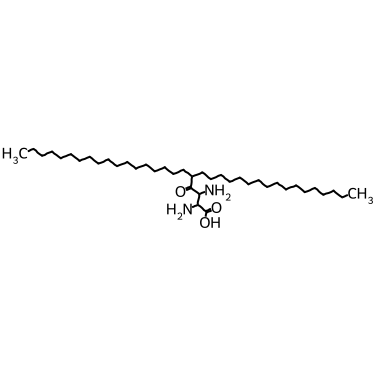 CCCCCCCCCCCCCCCCCCC(CCCCCCCCCCCCCCCCC)C(=O)C(N)C(N)C(=O)O